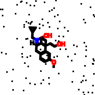 COc1ccc2c(c1)[C@@]1(CCO)CCN(CC3CC3)[C@H](C2)C1CO